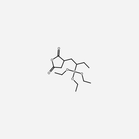 CCO[Si](OCC)(OCC)C(CC)CC1CC(=O)OC1=O